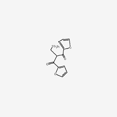 CCOC(=O)CC(C(=O)c1ccco1)C(=O)c1ccco1